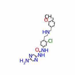 COc1cccc(CNCCc2ccc(NC(=O)Nc3cnc(N)cn3)cc2Cl)c1